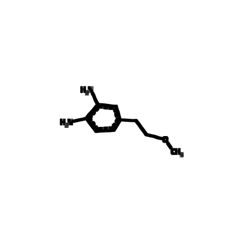 COCCc1ccc(N)c(N)c1